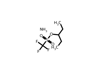 CCC(CC)OS(=O)(=O)C(F)(F)F.N